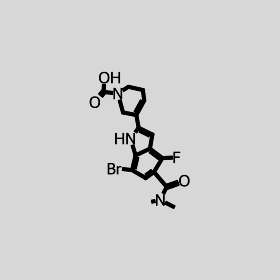 CN(C)C(=O)c1cc(Br)c2[nH]c(C3=CCCN(C(=O)O)C3)cc2c1F